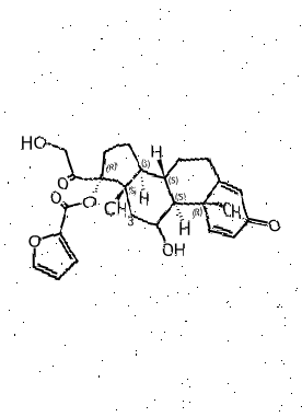 C[C@]12C=CC(=O)C=C1CC[C@@H]1[C@@H]2C(O)C[C@@]2(C)[C@H]1CC[C@]2(OC(=O)c1ccco1)C(=O)CO